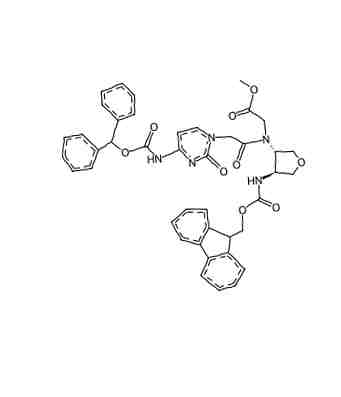 COC(=O)CN(C(=O)Cn1ccc(NC(=O)OC(c2ccccc2)c2ccccc2)nc1=O)[C@@H]1COC[C@H]1NC(=O)OCC1c2ccccc2-c2ccccc21